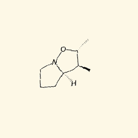 C[C@H]1[C@H]2CCCN2O[C@@H]1C